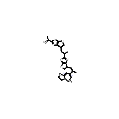 C/C=C(\C=C1\OCCN1N)C(C)CC1COc2oc(C(C)CC3COc4sc(C(C)S)nc43)nc21